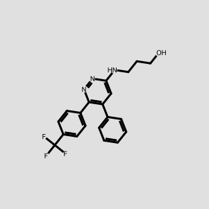 OCCCNc1cc(-c2ccccc2)c(-c2ccc(C(F)(F)F)cc2)nn1